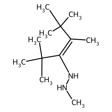 CNN/C(=C(\C)C(C)(C)C)C(C)(C)C